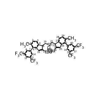 Cc1ccc2c(c1-c1cc(C(F)(F)F)cc(C(F)(F)F)c1)C=C(C(C)(C)C)C2C[SiH2]CC1C(C(C)(C)C)=Cc2c1ccc(C)c2-c1cc(C(F)(F)F)cc(C(F)(F)F)c1